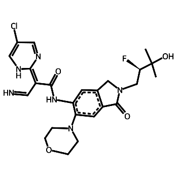 CC(C)(O)[C@H](F)CN1Cc2cc(NC(=O)/C(C=N)=C3\N=CC(Cl)=CN3)c(N3CCOCC3)cc2C1=O